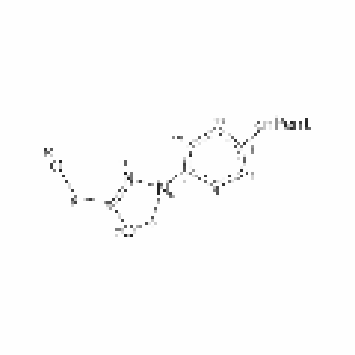 CCCCCc1ccc(N2COC(C[O])=N2)cc1